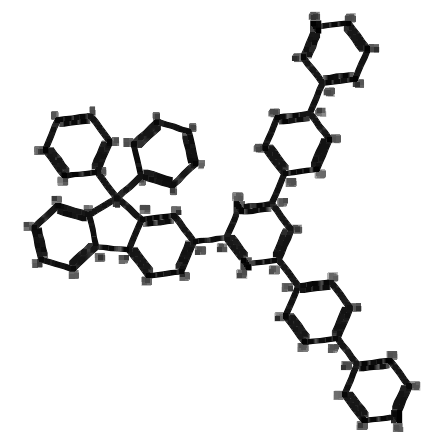 c1ccc(C2(c3ccccc3)c3ccccc3-c3ccc(-c4nc(-c5ccc(-c6ccncc6)cc5)cc(-c5ccc(-c6cccnc6)cc5)n4)cc32)cc1